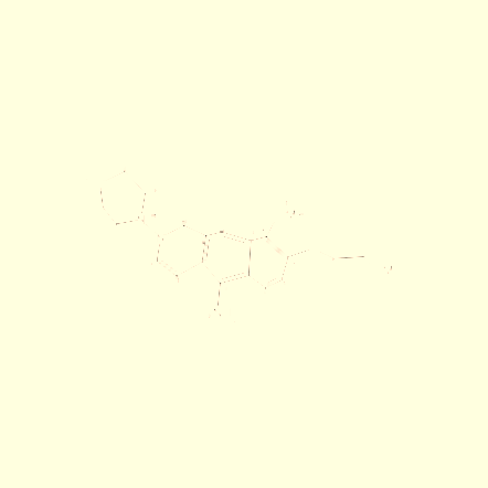 COCCOc1ccc2c(N)c3c(cc2c1OC)CN(N1CCOCC1)C=C3